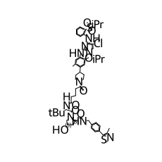 Cc1cc(Nc2ncc(Cl)c(Nc3ccccc3S(=O)(=O)C(C)C)n2)c(OC(C)C)cc1C1CCN(C(=O)CCCC(=O)NC(C(=O)N2C[C@@H](O)C[C@H]2C(=O)NCc2ccc(-c3scnc3C)cc2)C(C)(C)C)CC1